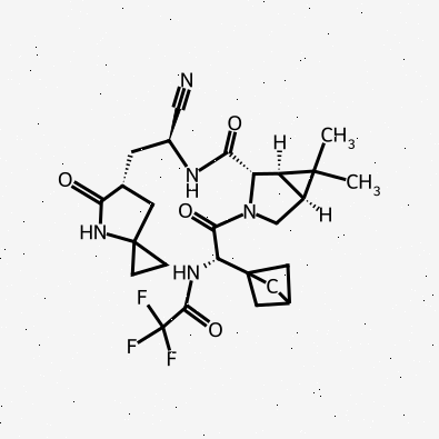 CC1(C)[C@@H]2[C@@H](C(=O)N[C@H](C#N)C[C@@H]3CC4(CC4)NC3=O)N(C(=O)[C@@H](NC(=O)C(F)(F)F)C34CC(C3)C4)C[C@@H]21